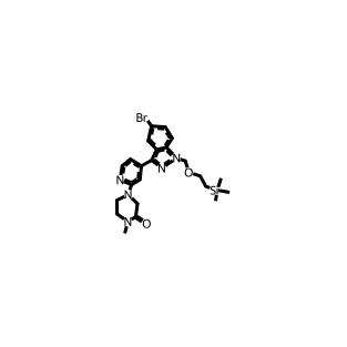 CN1CCN(c2cc(-c3nn(COCC[Si](C)(C)C)c4ccc(Br)cc34)ccn2)CC1=O